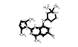 Cc1nc(-n2c(C)ccc2C)nc2c(OC3CCOC(C)(C)C3)cc(Br)cc12